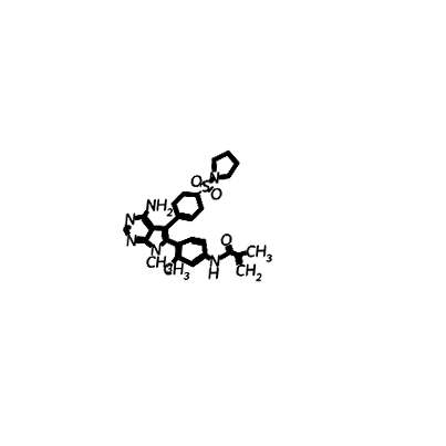 C=C(C)C(=O)Nc1ccc(-c2c(C3=CC[C@@H](S(=O)(=O)N4CCCC4)CC3)c3c(N)ncnc3n2C)c(C)c1